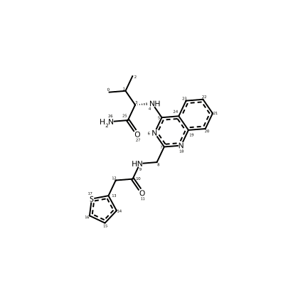 CC(C)[C@H](Nc1nc(CNC(=O)Cc2cccs2)nc2ccccc12)C(N)=O